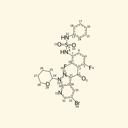 O=C(c1c(F)ccc(NS(=O)(=O)Nc2ccccc2)c1F)c1nn(C2CCCCO2)c2ncc(Br)cc12